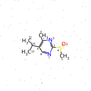 Cc1nc([S+](C)[O-])ncc1C(C)C